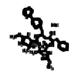 COC(=O)N[C@H](C(=O)N[C@@H](Cc1ccccc1)[C@H](O)CN(Cc1ccc(-c2ccccn2)cc1)NC(=O)[C@H](NC(=O)OC)C(C)(C)C)C(C)(C)C.Cl